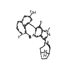 C#Cc1c(F)ccc2cc(O)cc(-c3ncc4c(N5CC6CCC(C5)N6)nn(C)c4c3F)c12